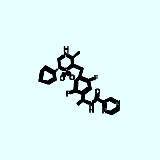 CC(NC(=O)c1cnccn1)c1cc(F)c(CC2[C@H](C)NC[C@@H](c3ccccc3)S2(=O)=O)cc1F